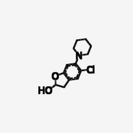 OC1Cc2cc(Cl)c(N3CCCCC3)cc2O1